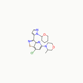 CC1COCCN1c1cc(Cl)c2snc(-c3ccnn3C3CCCCO3)c2n1